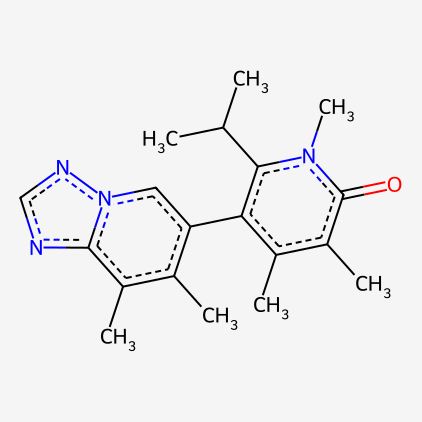 Cc1c(-c2cn3ncnc3c(C)c2C)c(C(C)C)n(C)c(=O)c1C